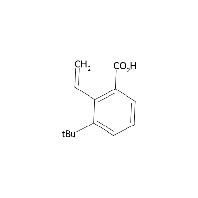 C=Cc1c(C(=O)O)cccc1C(C)(C)C